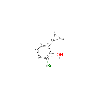 Oc1c(Br)cccc1C1CC1